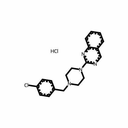 Cl.Clc1ccc(CN2CCN(c3ncc4ccccc4n3)CC2)cc1